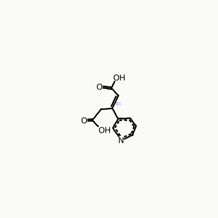 O=C(O)/C=C(\CC(=O)O)c1cccnc1